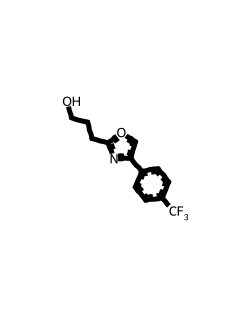 OCCCc1nc(-c2ccc(C(F)(F)F)cc2)co1